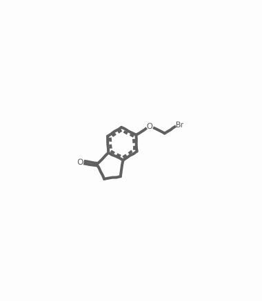 O=C1CCc2cc(OCBr)ccc21